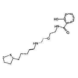 O=C(NCCOCCNCCCCCC1CCSS1)c1ccccc1O